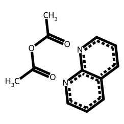 CC(=O)OC(C)=O.c1cnc2ncccc2c1